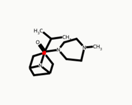 CC(C)N1CC2CC(C1)N2C(=O)N1CCN(C)CC1